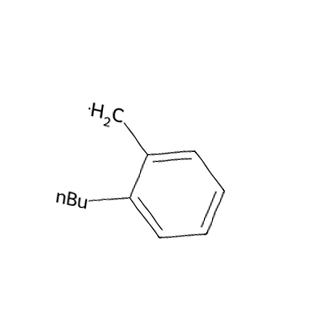 [CH2]c1ccccc1CCCC